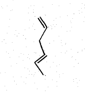 [CH2]/C=C/C[C]=C